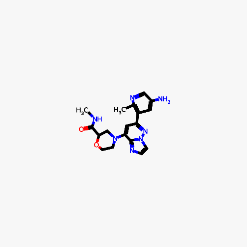 CNC(=O)C1CN(c2cc(-c3cc(N)cnc3C)nn3ccnc23)CCO1